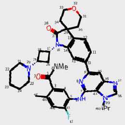 CNC(=O)c1cc(Nc2nc(-c3ccc4c(c3)N([C@H]3C[C@@H](N5CCCCC5)C3)C(=O)C43CCOCC3)cc3ncn(C(C)C)c23)c(F)cc1C